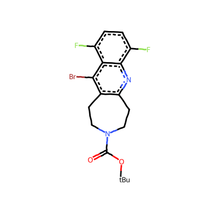 CC(C)(C)OC(=O)N1CCc2nc3c(F)ccc(F)c3c(Br)c2CC1